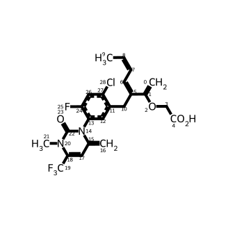 C=C(OCC(=O)O)/C(=C\C=C/C)Cc1cc(N2C(=C)C=C(C(F)(F)F)N(C)C2=O)c(F)cc1Cl